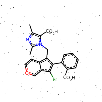 Cc1nc(C)n(Cc2c3ccocc-3c(Br)c2-c2ccccc2C(=O)O)c1C(=O)O